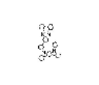 c1ccc(-c2nc3ccc(-c4cccc(-n5c6ccccc6c6cc7c8ccccc8n(-c8ccccc8)c7cc65)c4)cc3nc2-c2ccccc2)cc1